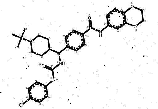 CC(C)(C)C1CCC(C(NC(=O)Nc2ccc(Cl)cc2)c2ccc(C(=O)Nc3ccc4c(c3)OCCO4)cc2)CC1